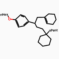 CCCCCCOc1ccc(C(CCC2(CCCCC)CCCCC2)CC2=CCCCC2)cc1